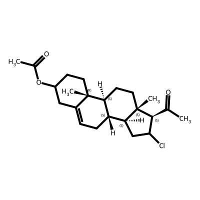 CC(=O)OC1CC[C@@]2(C)C(=CC[C@H]3[C@@H]4CC(Cl)[C@H](C(C)=O)[C@@]4(C)CC[C@@H]32)C1